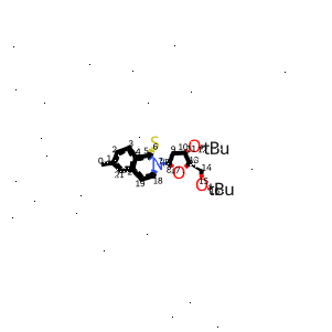 Cc1ccc2c(=S)n([C@H]3CC(OC(C)(C)C)[C@@H](COC(C)(C)C)O3)ccc2c1